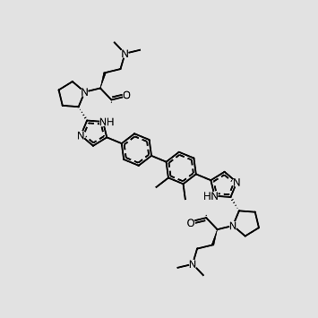 Cc1c(-c2ccc(-c3cnc([C@@H]4CCCN4[C@H]([C]=O)CCN(C)C)[nH]3)cc2)ccc(-c2cnc([C@@H]3CCCN3[C@H]([C]=O)CCN(C)C)[nH]2)c1C